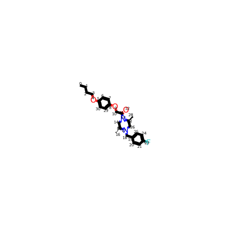 CCCCOc1ccc(OCC(=O)N2C[C@@H](C)N(Cc3ccc(F)cc3)C[C@@H]2C)cc1